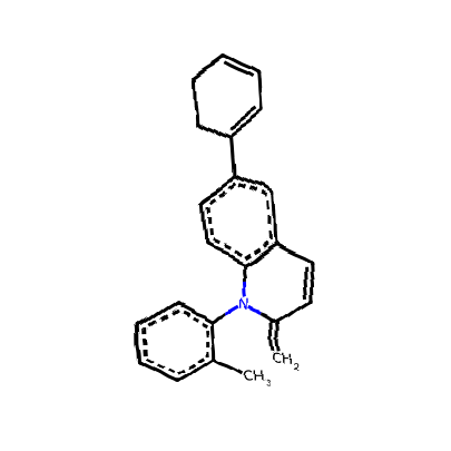 C=C1C=Cc2cc(C3=CC=CCC3)ccc2N1c1ccccc1C